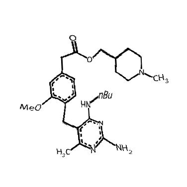 CCCCNc1nc(N)nc(C)c1Cc1ccc(CC(=O)OCC2CCN(C)CC2)cc1OC